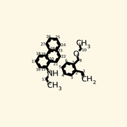 C=Cc1ccccc1COCC.CCNc1cccc2c1ccc1ccccc12